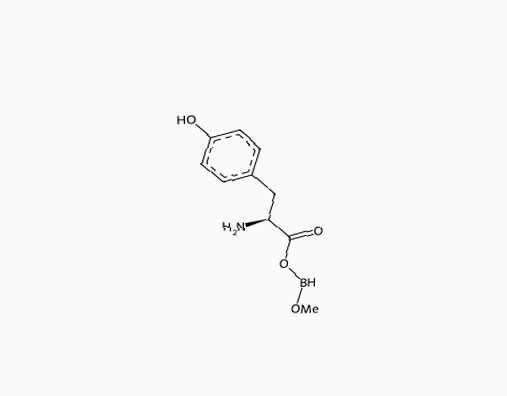 COBOC(=O)[C@@H](N)Cc1ccc(O)cc1